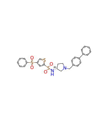 O=S(=O)(N[C@@H]1CCN(Cc2ccc(-c3ccccc3)cc2)C1)c1cc(S(=O)(=O)c2ccccc2)cs1